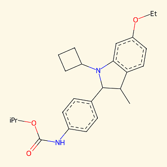 CCOc1ccc2c(c1)N(C1CCC1)C(c1ccc(NC(=O)OC(C)C)cc1)C2C